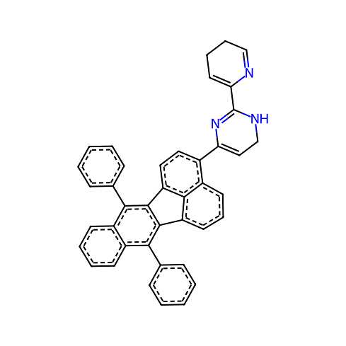 C1=NC(C2=NC(c3ccc4c5c(cccc35)-c3c-4c(-c4ccccc4)c4ccccc4c3-c3ccccc3)=CCN2)=CCC1